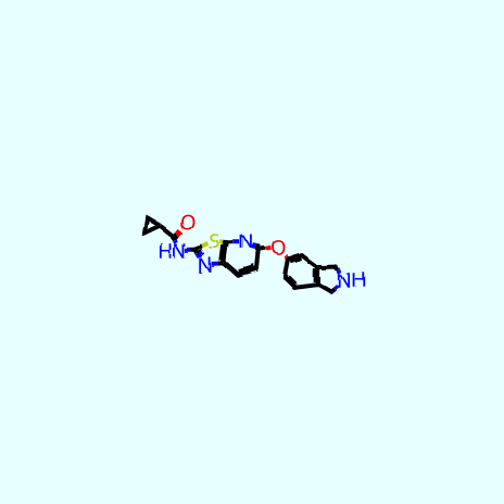 O=C(Nc1nc2ccc(Oc3ccc4c(c3)CNC4)nc2s1)C1CC1